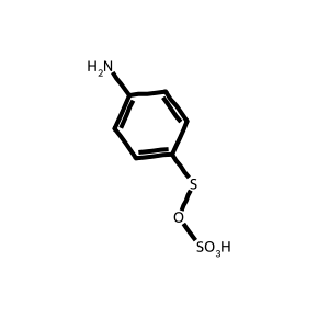 Nc1ccc(SOS(=O)(=O)O)cc1